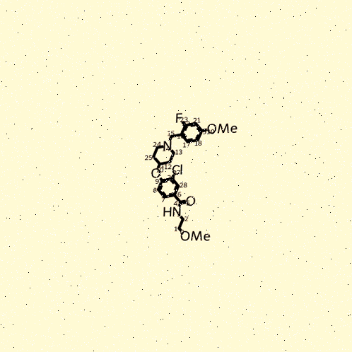 COCCNC(=O)c1ccc(OC2CCN(Cc3ccc(OC)cc3F)CC2)c(Cl)c1